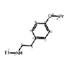 CCNCCc1ccc(OC(C)C)cc1